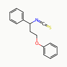 S=C=NC(CCOc1ccccc1)c1ccccc1